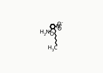 CCCCCCCCc1c(C(N)=O)cccc1[N+](=O)[O-]